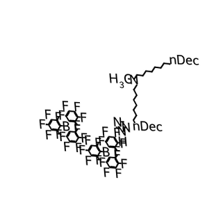 CCCCCCCCCCCCCCCCCCN(C)CCCCCCCCCCCCCCCCCC.Fc1c(F)c(F)c(B(c2c(F)c(F)c(F)c(F)c2F)c2c(F)c(F)c(F)c(F)c2F)c(F)c1F.Fc1c(F)c(F)c(B(c2c(F)c(F)c(F)c(F)c2F)c2c(F)c(F)c(F)c(F)c2F)c(F)c1F.c1nc[nH]n1